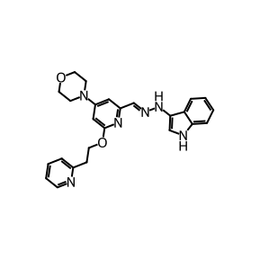 C(=NNc1c[nH]c2ccccc12)c1cc(N2CCOCC2)cc(OCCc2ccccn2)n1